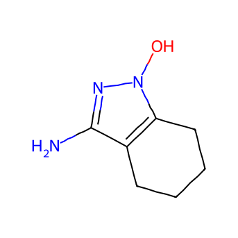 Nc1nn(O)c2c1CCCC2